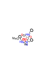 COc1ccc(OC(F)(F)F)cc1CC(=O)NC(C(=O)NC(Cc1ccccc1)C(O)CCC(=O)NCCc1ccccc1)C(C)C